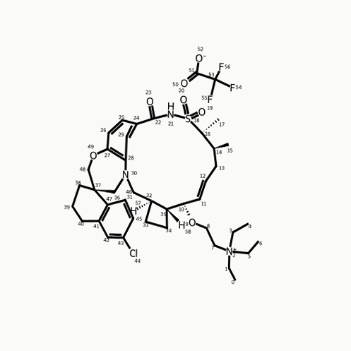 CC[N+](CC)(CC)CCO[C@H]1/C=C/C[C@H](C)[C@@H](C)S(=O)(=O)NC(=O)c2ccc3c(c2)N(C[C@@H]2CC[C@H]21)C[C@@]1(CCCc2cc(Cl)ccc21)CO3.O=C([O-])C(F)(F)F